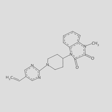 C=Cc1cnc(N2CCC(n3c(=O)c(=O)n(C)c4ccccc43)CC2)nc1